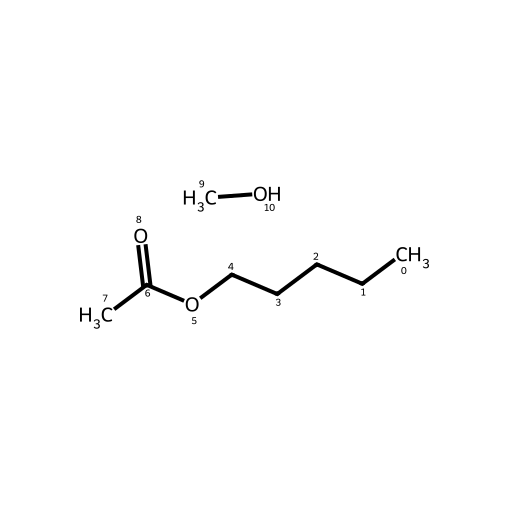 CCCCCOC(C)=O.CO